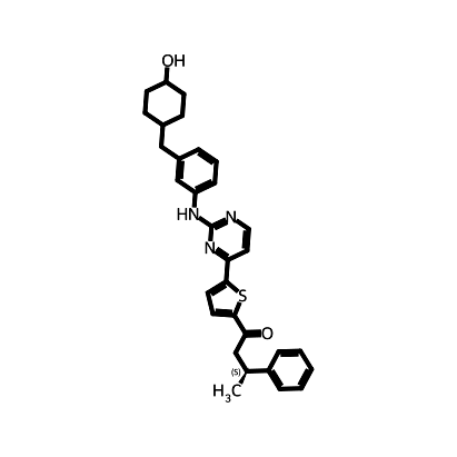 C[C@@H](CC(=O)c1ccc(-c2ccnc(Nc3cccc(CC4CCC(O)CC4)c3)n2)s1)c1ccccc1